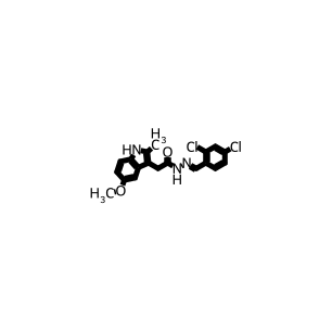 COc1ccc2[nH]c(C)c(CC(=O)NN=Cc3ccc(Cl)cc3Cl)c2c1